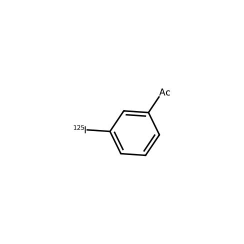 CC(=O)c1cccc([125I])c1